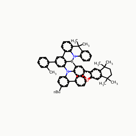 CCCCc1ccc(N2c3cc4oc5cc6c(cc5c4cc3B3c4c(cc(-c5ccccc5C)cc42)-c2cccc4c2N3c2ccccc2C4(C)C)C(C)(C)CCC6(C)C)c(-c2ccccc2)c1